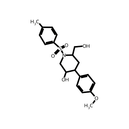 COc1ccc(C2CC(CO)N(S(=O)(=O)c3ccc(C)cc3)CC2O)cc1